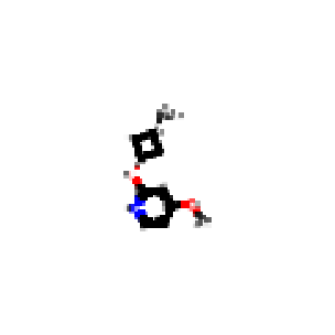 CCOc1ccnc(O[C@H]2C[C@@H](NC)C2)c1